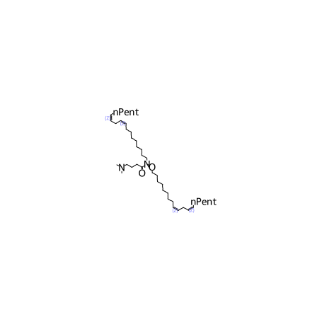 CCCCC/C=C\C/C=C\CCCCCCCCON(CCCCCCCC/C=C\C/C=C\CCCCC)C(=O)CCCN(C)C